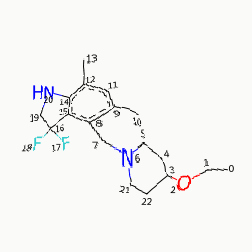 CCOC1CCN(Cc2c(C)cc(C)c3c2C(F)(F)CN3)CC1